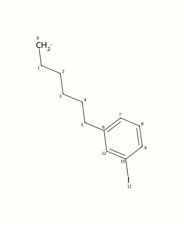 [CH2]CCCCCc1cccc(I)c1